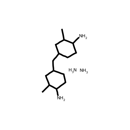 CC1CC(CC2CCC(N)C(C)C2)CCC1N.N.N